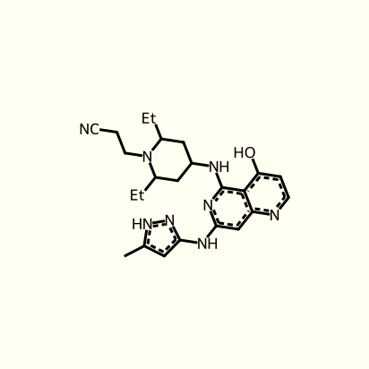 CCC1CC(Nc2nc(Nc3cc(C)[nH]n3)cc3nccc(O)c23)CC(CC)N1CCC#N